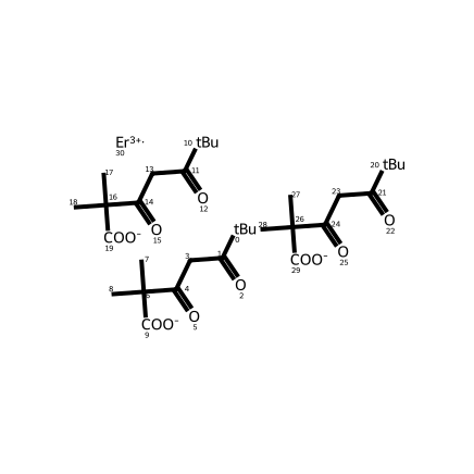 CC(C)(C)C(=O)CC(=O)C(C)(C)C(=O)[O-].CC(C)(C)C(=O)CC(=O)C(C)(C)C(=O)[O-].CC(C)(C)C(=O)CC(=O)C(C)(C)C(=O)[O-].[Er+3]